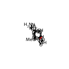 COOP1(=O)OC[C@H]2O[C@@H](n3cnc4c(N)ncnc43)[C@H](F)[C@@H]2OP(=O)(S)OC[C@H]2O[C@@H](n3ccc(=O)[nH]c3=O)[C@H](O1)[C@@H]2F